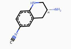 [C-]#[N+]c1ccc2c(c1)C[C@@H](N)CN2